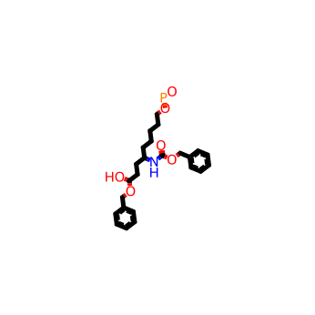 O=POCCCCCC(CCC(O)OCc1ccccc1)NC(=O)OCc1ccccc1